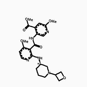 COC(=O)c1cc(OC)ncc1NC(=O)c1c(OC)ccnc1N[C@@H]1CCCN(C2COC2)C1